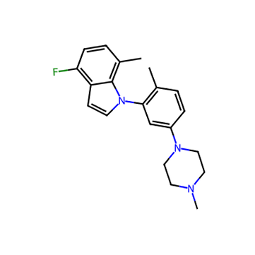 Cc1ccc(N2CCN(C)CC2)cc1-n1ccc2c(F)ccc(C)c21